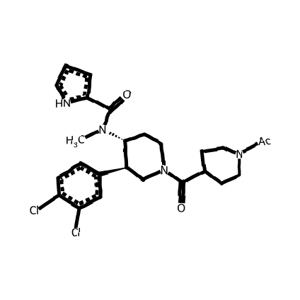 CC(=O)N1CCC(C(=O)N2CC[C@@H](N(C)C(=O)c3ccc[nH]3)[C@H](c3ccc(Cl)c(Cl)c3)C2)CC1